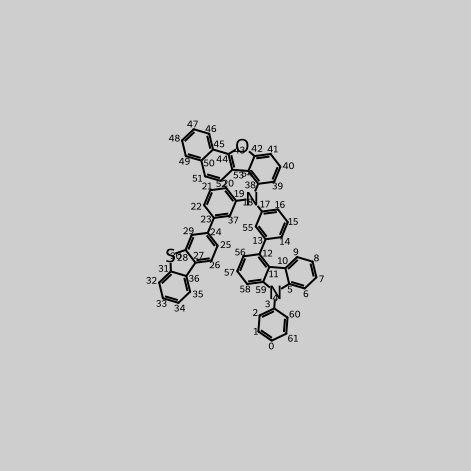 c1ccc(-n2c3ccccc3c3c(-c4cccc(N(c5cccc(-c6ccc7c(c6)sc6ccccc67)c5)c5cccc6oc7c8ccccc8ccc7c56)c4)cccc32)cc1